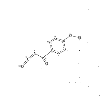 CCOc1ccc(C(=O)N=C=O)cc1